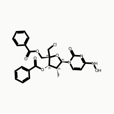 O=C(OC[C@@]1(CCl)O[C@@H](n2ccc(NO)nc2=O)[C@H](F)[C@@H]1OC(=O)c1ccccc1)c1ccccc1